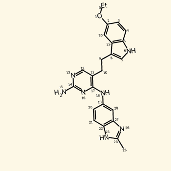 CCOc1ccc2[nH]cc(CCc3cnc(N)nc3Nc3ccc4[nH]c(C)nc4c3)c2c1